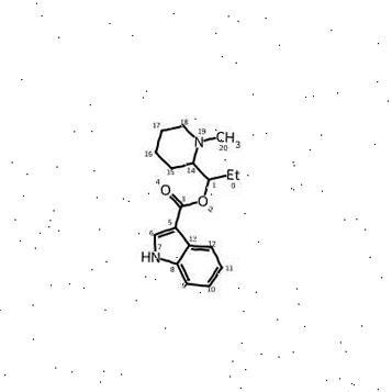 CCC(OC(=O)c1c[nH]c2ccccc12)C1CCCCN1C